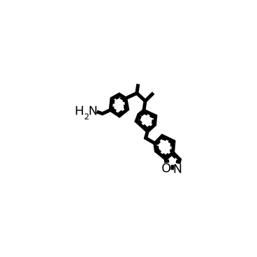 CC(c1ccc(CN)cc1)C(C)c1ccc(Cc2ccc3cnoc3c2)cc1